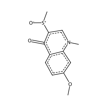 COc1ccc2c(=O)c([S+](C)[O-])cn(C)c2c1